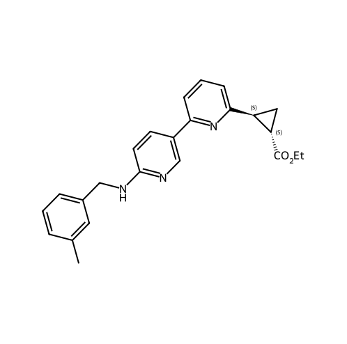 CCOC(=O)[C@H]1C[C@@H]1c1cccc(-c2ccc(NCc3cccc(C)c3)nc2)n1